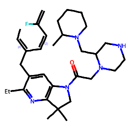 C=C(F)/C=C\C(=C/C)Cc1cc2c(nc1CC)C(C)(C)CN2C(=O)CN1CCNCC1CN1CCCCC1C